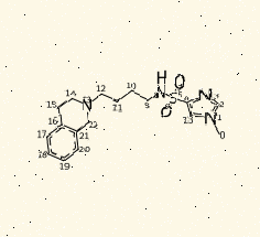 Cn1cnc(S(=O)(=O)NCCCCN2CCc3ccccc3C2)c1